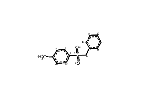 [CH2]c1ccc(S(=O)(=O)Cc2ccccc2)cc1